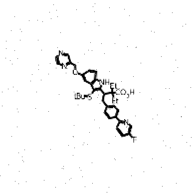 CCC(CC)(C(=O)O)C(Cc1ccc(-c2ccc(F)cn2)cc1)c1[nH]c2ccc(OCc3cnccn3)cc2c1SC(C)(C)C